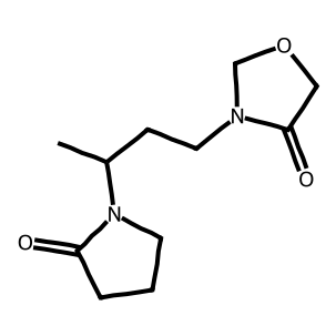 CC(CCN1COCC1=O)N1CCCC1=O